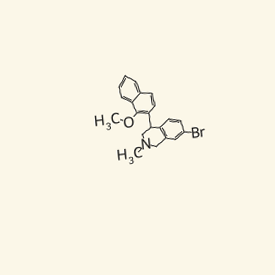 COc1c(C2CN(C)Cc3cc(Br)ccc32)ccc2ccccc12